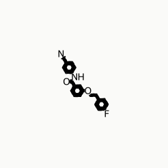 N#Cc1ccc(NC(=O)c2cccc(OCCc3ccc(F)cc3)c2)cc1